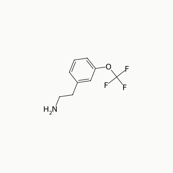 NCCc1cccc(OC(F)(F)F)c1